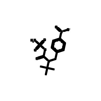 CC(C)(C)N(Cc1ccc([N+](=O)[O-])cc1)C(=O)OS(N)(=O)=O